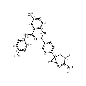 CNC(=O)N(C)CC1(c2ccc(CNc3ccc(Cl)cc3C(=O)Nc3ccc(Cl)cn3)cc2)CC1